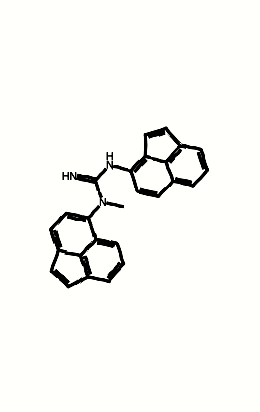 CN(C(=N)Nc1ccc2cccc3c2c1C=C3)c1ccc2c3c(cccc13)C=C2